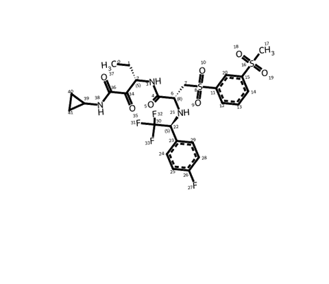 CC[C@H](NC(=O)[C@H](CS(=O)(=O)c1cccc(S(C)(=O)=O)c1)N[C@@H](c1ccc(F)cc1)C(F)(F)F)C(=O)C(=O)NC1CC1